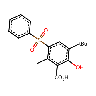 Cc1c(S(=O)(=O)c2ccccc2)cc(C(C)(C)C)c(O)c1C(=O)O